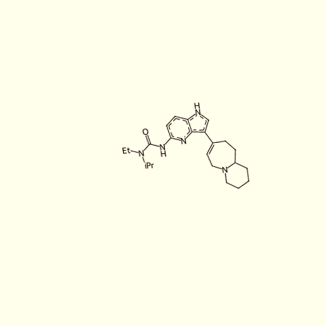 CCN(C(=O)Nc1ccc2[nH]cc(C3=CCN4CCCCC4CC3)c2n1)C(C)C